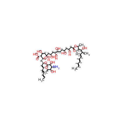 C/C=C/C=C/C=C/[C@@H](C[C@@H]1O[C@](O)(C[C@@H](O)C[C@@H](O)[C@H](O)CC[C@@H](O)C[C@@H](O)CC(=O)O[C@@H](C)[C@H](C)[C@H](O)[C@@H](C)/C=C/C=C/C=C/C)C[C@H](O)[C@H]1C(=O)O)O[C@@H]1O[C@H](C)[C@@H](O)[C@H](N)[C@@H]1O